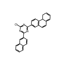 Clc1nc(-c2ccc3c(c2)C=CC2=CC=CCC23)nc(-c2ccc3ccccc3c2)n1